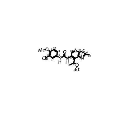 CCOC(C)c1c(NC(=O)Nc2ccc(OC)c(Cl)c2)cnc2sc(C)nc12